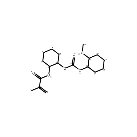 C=C(C)C(=O)OC1CCCCC1OC(=O)OC1CCCCC1OC